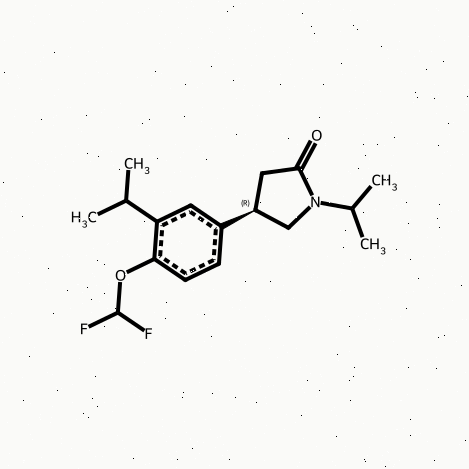 CC(C)c1cc([C@H]2CC(=O)N(C(C)C)C2)ccc1OC(F)F